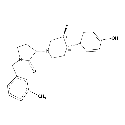 Cc1cccc(CN2CCC(N3CC[C@@H](C4C=CC(O)=CC4)[C@H](F)C3)C2=O)c1